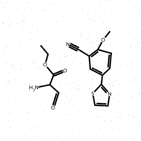 CCOC(=O)C(N)C=O.COc1ccc(-c2nccs2)cc1C#N